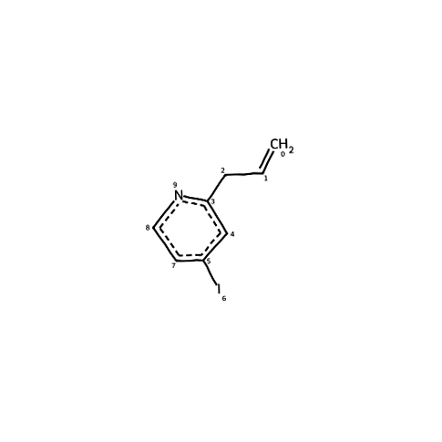 C=CCc1cc(I)ccn1